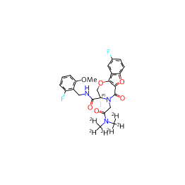 [2H]C([2H])([2H])N(C(=O)CN1C(=O)c2oc3ccc(F)cc3c2OC[C@]1(C)C(=O)NCc1c(F)cccc1OC)C([2H])([2H])[2H]